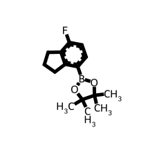 CC1(C)OB(c2ccc(F)c3c2CCC3)OC1(C)C